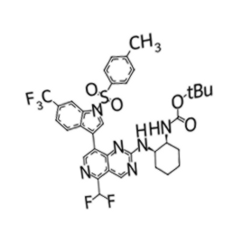 Cc1ccc(S(=O)(=O)n2cc(-c3cnc(C(F)F)c4cnc(N[C@@H]5CCCC[C@@H]5NC(=O)OC(C)(C)C)nc34)c3ccc(C(F)(F)F)cc32)cc1